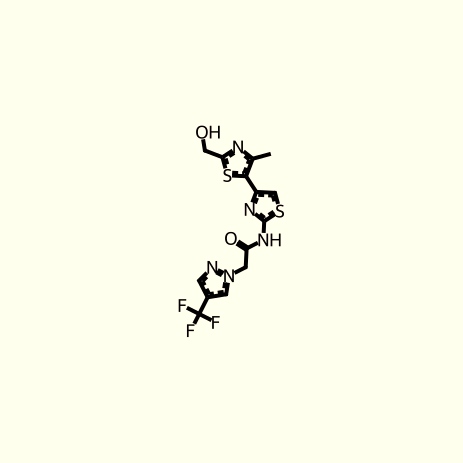 Cc1nc(CO)sc1-c1csc(NC(=O)Cn2cc(C(F)(F)F)cn2)n1